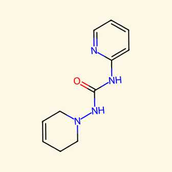 O=C(Nc1ccccn1)NN1CC=CCC1